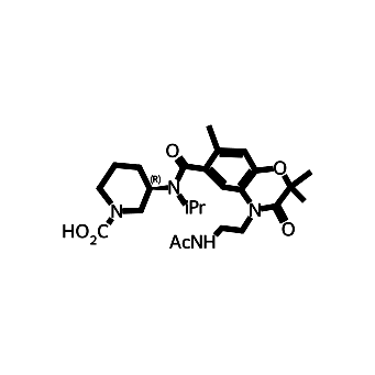 CC(=O)NCCN1C(=O)C(C)(C)Oc2cc(C)c(C(=O)N(C(C)C)[C@@H]3CCCN(C(=O)O)C3)cc21